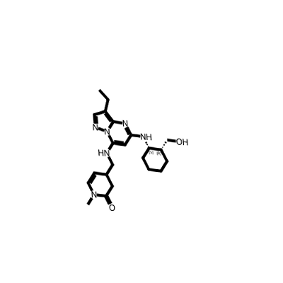 CCc1cnn2c(NCC3C=CN(C)C(=O)C3)cc(N[C@H]3CCCC[C@H]3CO)nc12